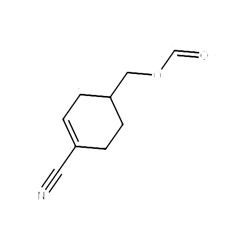 N#CC1=CCC(COC=O)CC1